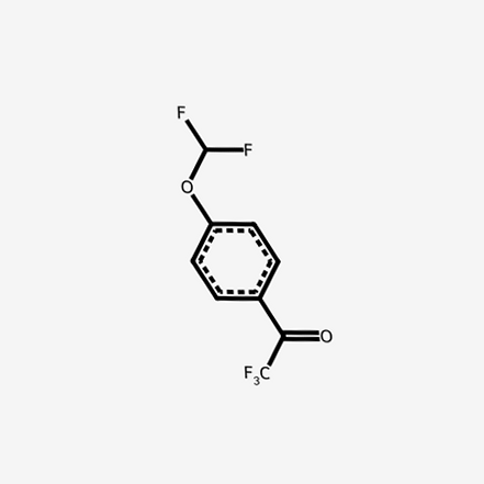 O=C(c1ccc(OC(F)F)cc1)C(F)(F)F